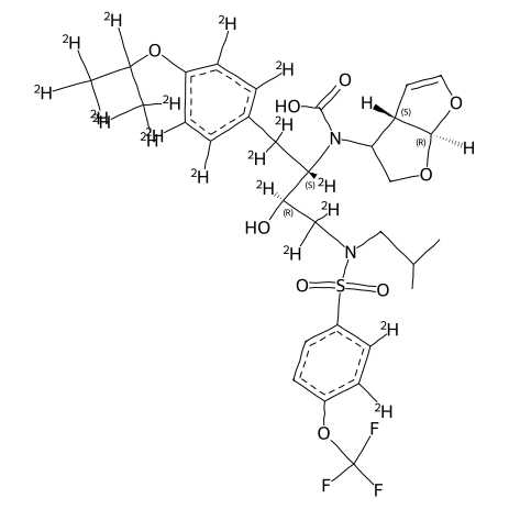 [2H]c1c(OC(F)(F)F)ccc(S(=O)(=O)N(CC(C)C)C([2H])([2H])[C@@]([2H])(O)[C@@]([2H])(N(C(=O)O)C2CO[C@@H]3OC=C[C@@H]23)C([2H])([2H])c2c([2H])c([2H])c(OC([2H])(C([2H])([2H])[2H])C([2H])([2H])[2H])c([2H])c2[2H])c1[2H]